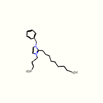 CCCCCCCCCCCCCCCCCCc1n(Cc2ccccc2)cc[n+]1CCCCCCCCCCCCC